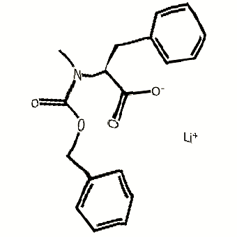 CN(C(=O)OCc1ccccc1)[C@@H](Cc1ccccc1)C(=O)[O-].[Li+]